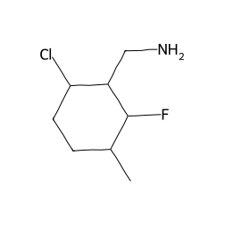 CC1CCC(Cl)C(CN)C1F